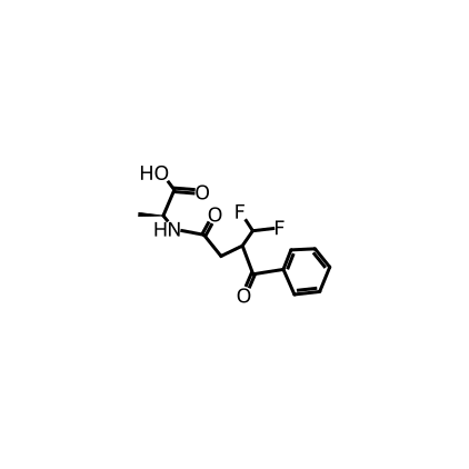 C[C@H](NC(=O)CC(C(=O)c1ccccc1)C(F)F)C(=O)O